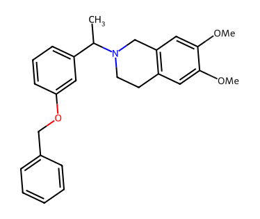 COc1cc2c(cc1OC)CN(C(C)c1cccc(OCc3ccccc3)c1)CC2